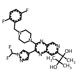 CC(C)(O)[C@@](C)(O)c1cc2nc(-c3cnn(C(F)F)c3)c(N3CCN(Cc4cc(F)ccc4F)CC3)nc2cn1